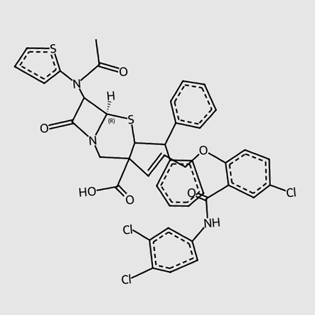 CC(=O)N(c1cccs1)C1C(=O)N2CC(C=CCOc3ccc(Cl)cc3C(=O)Nc3ccc(Cl)c(Cl)c3)(C(=O)O)C(C(c3ccccc3)c3ccccc3)S[C@H]12